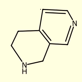 [c]1cncc2c1CCNC2